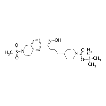 CC(C)(C)OC(=O)N1CCC(CCC/C(=N\O)c2ccc3c(c2)CCN(S(C)(=O)=O)C3)CC1